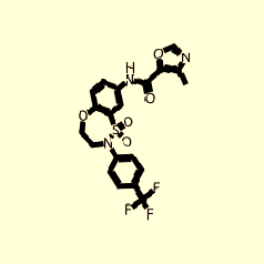 Cc1ncoc1C(=O)Nc1ccc2c(c1)S(=O)(=O)N(c1ccc(C(F)(F)F)cc1)CCO2